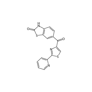 O=C(c1ccc2[nH]c(=O)sc2c1)c1csc(-c2ccccn2)n1